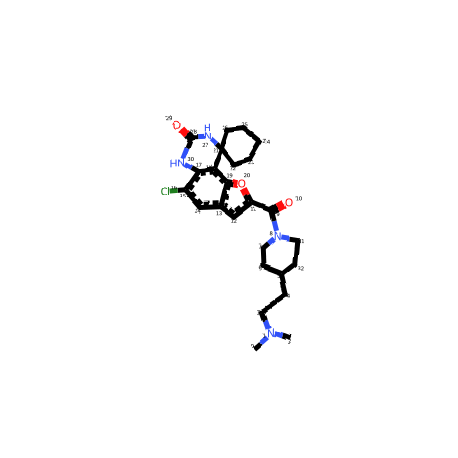 CN(C)CCC1CCN(C(=O)c2cc3cc(Cl)c4c(c3o2)C2(CCCCC2)NC(=O)N4)CC1